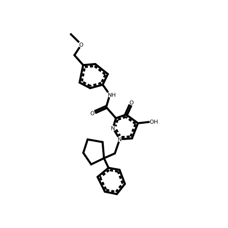 COCc1ccc(NC(=O)c2nn(CC3(c4ccccc4)CCCC3)cc(O)c2=O)cc1